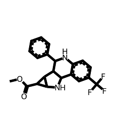 COC(=O)C1C2NC3c4cc(C(F)(F)F)ccc4NC(c4ccccc4)C3C21